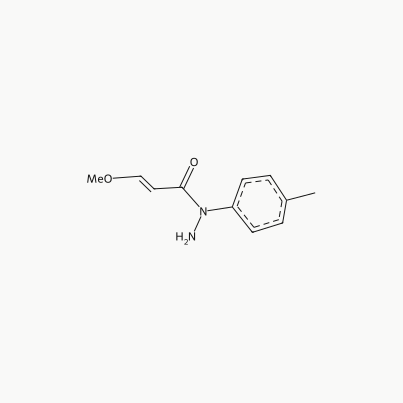 COC=CC(=O)N(N)c1ccc(C)cc1